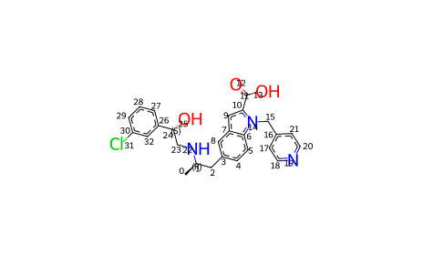 C[C@H](Cc1ccc2c(c1)cc(C(=O)O)n2Cc1ccncc1)NC[C@@H](O)c1cccc(Cl)c1